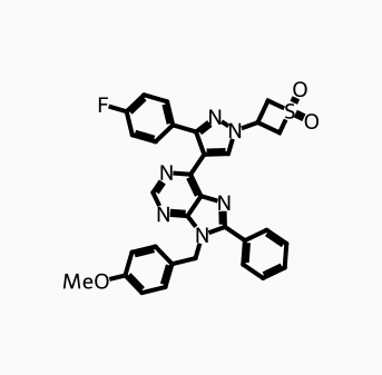 COc1ccc(Cn2c(-c3ccccc3)nc3c(-c4cn(C5CS(=O)(=O)C5)nc4-c4ccc(F)cc4)ncnc32)cc1